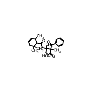 CCC(C)(CC(=O)C1C(C)C=CCC1(C)C)C(C)(C(=O)O)C(=O)c1ccccc1